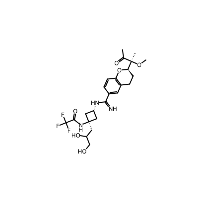 CO[C@](C)(C(C)=O)[C@H]1CCc2cc(C(=N)N[C@H]3C[C@](CC(O)CO)(NC(=O)C(F)(F)F)C3)ccc2O1